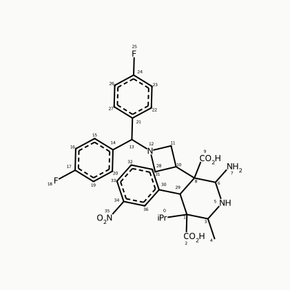 CC(C)C1(C(=O)O)C(C)NC(N)C(C(=O)O)(C2CN(C(c3ccc(F)cc3)c3ccc(F)cc3)C2)C1c1cccc([N+](=O)[O-])c1